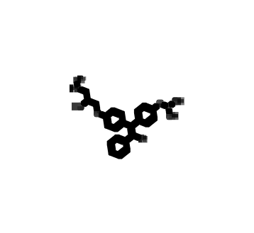 CCCNCC(O)COc1ccc(C(=C(CC)c2ccccc2)c2ccc(OP(O)O)cc2)cc1